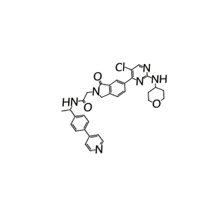 CC(NC(=O)CN1Cc2ccc(-c3nc(NC4CCOCC4)ncc3Cl)cc2C1=O)c1ccc(-c2ccncc2)cc1